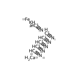 C#N.C#N.C#N.C#N.C#N.C#N.[CaH2].[Fe].[KH]